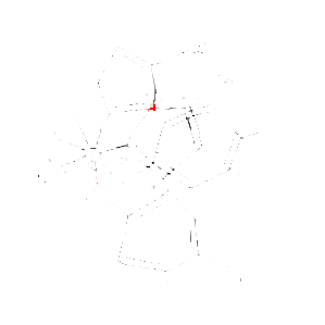 CC(C)(C)C1=CC[C]([Zr]([CH3])([CH3])(=[SiH2])([O]c2ccc(F)cc2)([O]c2ccc(F)cc2)[C]2=CC=C(C(C)(C)C)C2)=C1